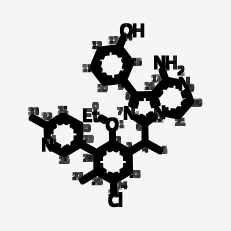 CCOc1c(C(C)c2nc(-c3cccc(O)c3)c3c(N)nccn23)cc(Cl)c(C)c1-c1ccc(C)nc1